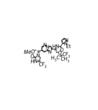 CCn1nccc1C(=O)N[C@@H](COC(C)(C)C(F)(F)F)c1cn2ncc([C@@H](COC)N3C[C@@H](C(F)(F)F)NC3=O)cc2n1